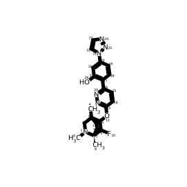 CN1CC2(C)CC[C@]1(C)C(F)C2Oc1ccc(-c2ccc(-n3ccnn3)cc2O)nn1